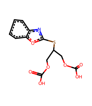 O=C(O)OCC(COC(=O)O)Sc1nc2ccccc2o1